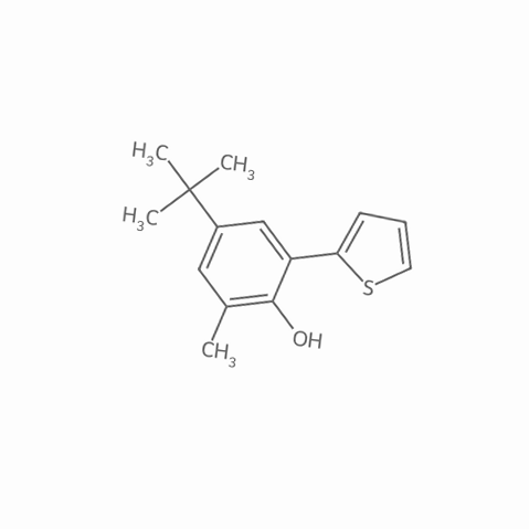 Cc1cc(C(C)(C)C)cc(-c2cccs2)c1O